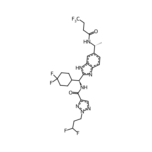 C[C@@H](NC(=O)CCC(F)(F)F)c1ccc2nc([C@@H](NC(=O)c3cnn(CCC(F)F)n3)C3CCC(F)(F)CC3)[nH]c2c1